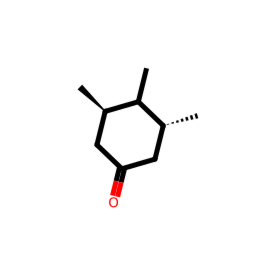 CC1[C@H](C)CC(=O)C[C@H]1C